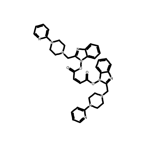 O=C(/C=C\C(=O)On1c(CN2CCN(c3ccccn3)CC2)nc2ccccc21)On1c(CN2CCN(c3ccccn3)CC2)nc2ccccc21